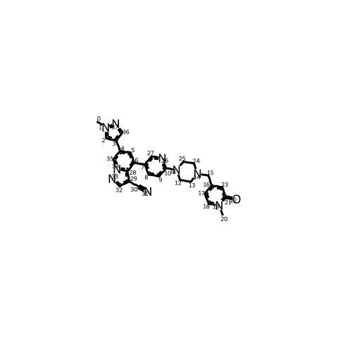 Cn1cc(-c2cc(-c3ccc(N4CCN(Cc5ccn(C)c(=O)c5)CC4)nc3)c3c(C#N)cnn3c2)cn1